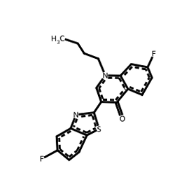 CCCCn1cc(-c2nc3cc(F)ccc3s2)c(=O)c2ccc(F)cc21